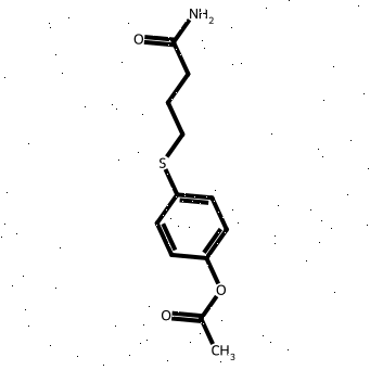 CC(=O)Oc1ccc(SCCCC(N)=O)cc1